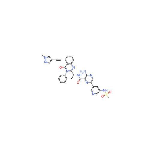 C[C@H](NC(=O)c1nc(-c2cncc(NS(C)(=O)=O)c2)cnc1N)c1nc2cccc(C#Cc3cnn(C)c3)c2c(=O)n1-c1ccccc1